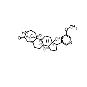 COc1cncc(C2CC[C@H]3[C@@H]4CCC5=CC(=O)NCC[C@]5(C)[C@H]4CC[C@]23C)c1